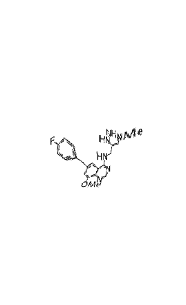 CN/C=C(/CNc1ncnc2c(OC)cc(-c3ccc(F)cc3)cc12)NN